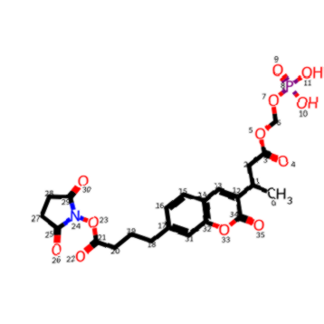 CC(CC(=O)OCOP(=O)(O)O)c1cc2ccc(CCCC(=O)ON3C(=O)CCC3=O)cc2oc1=O